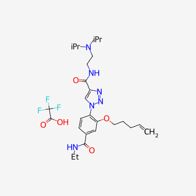 C=CCCCOc1cc(C(=O)NCC)ccc1-n1cc(C(=O)NCCN(C(C)C)C(C)C)nn1.O=C(O)C(F)(F)F